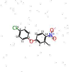 Cc1cc(Oc2ccc(Cl)cc2)ccc1[N+](=O)[O-]